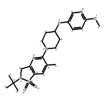 COc1ccc(OC2CCN(c3nc4c(cc3C)S(=O)(=O)N(C(C)(C)C)C4)CC2)cn1